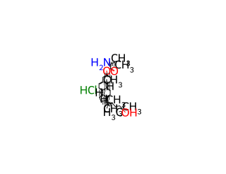 CC(C)[C@H](N)C(=O)O[C@H]1CC[C@@]2(C)C(=CC[C@H]3[C@@H]4CC[C@H]([C@H](C)CCCC(C)(C)O)[C@@]4(C)CC[C@@H]32)C1.Cl